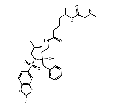 CNCC(=O)NC(C)CCCC(=O)NCCC(O)(Cc1ccccc1)N(CC(C)C)S(=O)(=O)c1ccc2c(c1)OC(C)O2